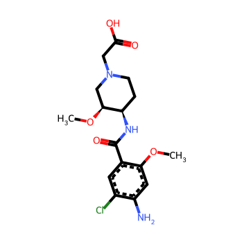 COc1cc(N)c(Cl)cc1C(=O)N[C@@H]1CCN(CC(=O)O)C[C@@H]1OC